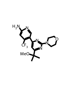 COC(C)(C)c1cc(-c2cnc(N)cc2C(F)(F)F)nc(N2CCOCC2)n1